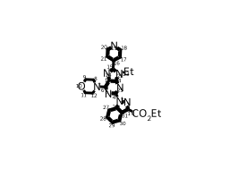 CCOC(=O)c1nn(-c2nc(N3CCOCC3)c3nc(-c4ccncc4)n(CC)c3n2)c2ccccc12